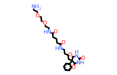 NCCOCCOCCNC(=O)CCCC(=O)NCCCCC1(c2ccccc2)C(=O)NC(=O)NC1=O